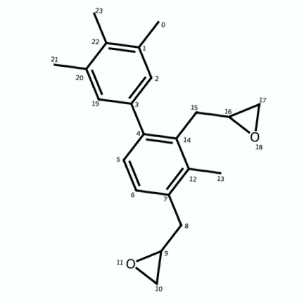 Cc1cc(-c2ccc(CC3CO3)c(C)c2CC2CO2)cc(C)c1C